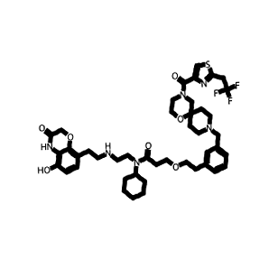 O=C1COc2c(CCNCCN(C(=O)CCOCCc3cccc(CN4CCC5(CC4)CN(C(=O)c4csc(CC(F)(F)F)n4)CCO5)c3)C3CCCCC3)ccc(O)c2N1